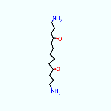 NCCCC(=O)CCCCCC(=O)CCCN